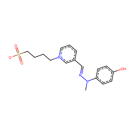 CN(N=Cc1ccc[n+](CCCCS(=O)(=O)[O-])c1)c1ccc(O)cc1